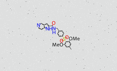 COc1cc(C)cc(OC)c1S(=O)(=O)c1ccc(CNC(=O)c2cc3cnccc3[nH]2)cc1